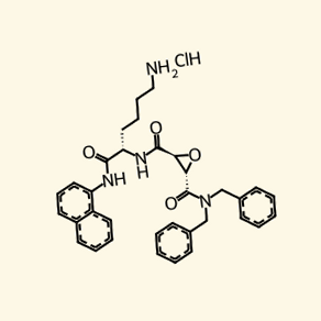 Cl.NCCCC[C@H](NC(=O)[C@H]1O[C@@H]1C(=O)N(Cc1ccccc1)Cc1ccccc1)C(=O)Nc1cccc2ccccc12